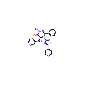 CCn1nc(-c2ccccc2)c(-c2csc(-c3ccncc3)n2)c(Nc2cccnc2)c1=O